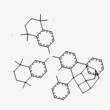 CC1(C)CCC(C)(C)c2cc(N(c3ccc4c(c3)C(C)(C)CCC4(C)C)c3ccc(-c4ccccc4)c4c3Oc3ccccc3C43C4CC5CC6CC3C64C5)ccc21